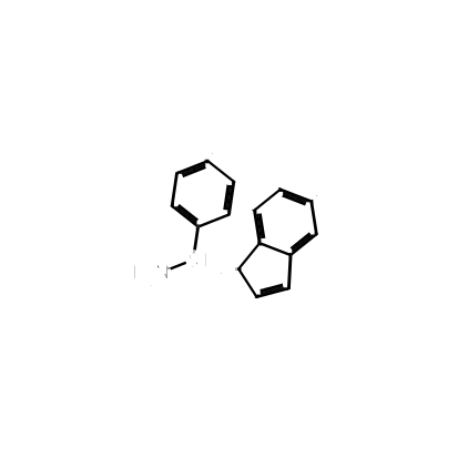 C1=Cc2ccccc2C1.N[SiH2]c1ccccc1